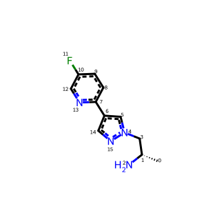 C[C@H](N)Cn1cc(-c2ccc(F)cn2)cn1